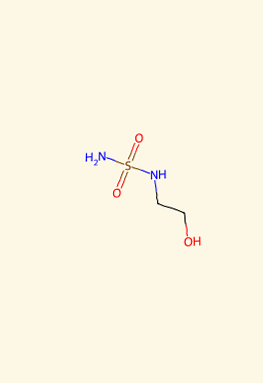 NS(=O)(=O)NCCO